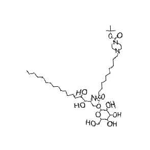 CCCCCCCCCCCCCC[C@@H](O)[C@@H](O)[C@H](COC1OC(CO)C(O)C(O)C1O)N=S(C)(=O)CCCCCCCCCCN1CCN(C(=O)OC(C)(C)C)CC1